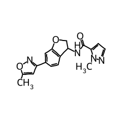 Cc1cc(-c2ccc3c(c2)OCC3NC(=O)c2ccnn2C)no1